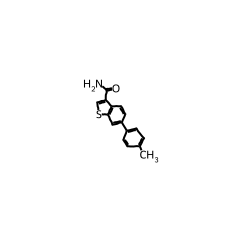 Cc1ccc(-c2ccc3c(C(N)=O)csc3c2)cc1